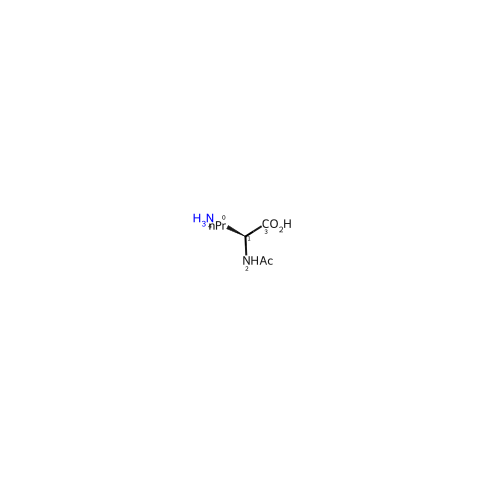 CCC[C@H](NC(C)=O)C(=O)O.N